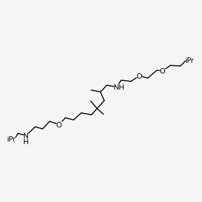 CC(C)CCOCCOCCNCC(C)CC(C)(C)CCCCOCCCNCC(C)C